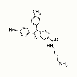 Cc1ccc(-n2c(-c3ccc(C#N)cc3)nc3cc(C(=O)NCCCCN)ccc32)cc1